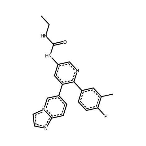 CCNC(=O)Nc1cnc(-c2ccc(F)c(C)c2)c(-c2ccc3nccn3c2)c1